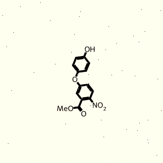 COC(=O)c1cc(Oc2ccc(O)cc2)ccc1[N+](=O)[O-]